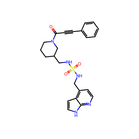 O=C(C#Cc1ccccc1)N1CCCC(CNS(=O)(=O)NCc2ccnc3[nH]ccc23)C1